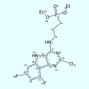 CCOP(=O)(CCCNc1nc(Cl)nc2c1[nH]c1cc(F)cc(F)c12)OCC